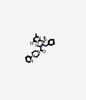 C=NN(/C(Cc1ccccc1)=C(\C)C(=O)N1CCN(c2ccccn2)CC1)c1nc(C)cc(=O)[nH]1